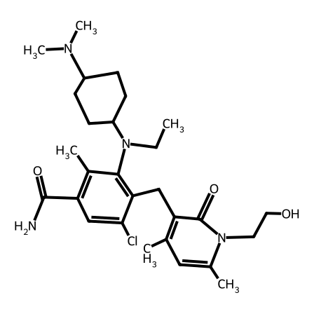 CCN(c1c(C)c(C(N)=O)cc(Cl)c1Cc1c(C)cc(C)n(CCO)c1=O)C1CCC(N(C)C)CC1